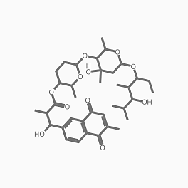 CCC(OC1CC(C)(O)C(OC2CCC(OC(=O)C(C)C(O)c3ccc4c(c3)C(=O)C=C(C)C4=O)C(C)O2)C(C)O1)C(C)C(O)C(C)C